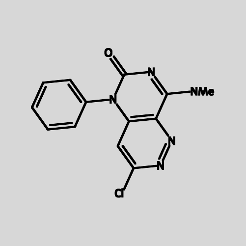 CNc1nc(=O)n(-c2ccccc2)c2cc(Cl)nnc12